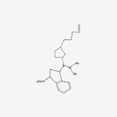 C=CCCCC1CCC(B(C2CC(CCCCCC)c3ccccc32)N(C(C)C)C(C)C)C1